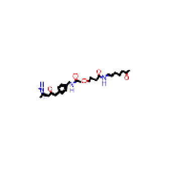 CN/C(C)=C\C(=O)Cc1ccc(CNC(=O)COCCCC(=O)NCCCCCC(C)=O)cc1